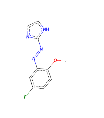 COc1ccc(F)cc1N=Nc1ncc[nH]1